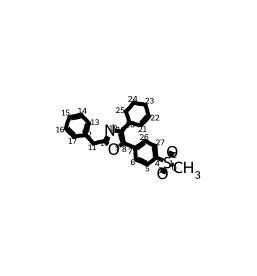 CS(=O)(=O)c1ccc(-c2oc(Cc3ccccc3)nc2C2C=CCCC2)cc1